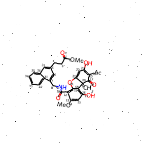 COC(=O)CCc1cc(CNC(=O)c2c(OC)cc(O)c3c2OC2=CC(O)=C(C(C)=O)C(=O)[C@]23C)c2ccccc2c1